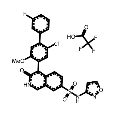 COc1cc(-c2cccc(F)c2)c(Cl)cc1-c1c(=O)[nH]cc2cc(S(=O)(=O)Nc3ccon3)ccc12.O=C(O)C(F)(F)F